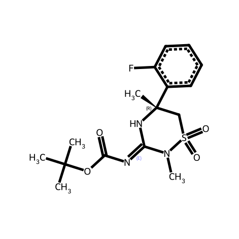 CN1/C(=N/C(=O)OC(C)(C)C)N[C@](C)(c2ccccc2F)CS1(=O)=O